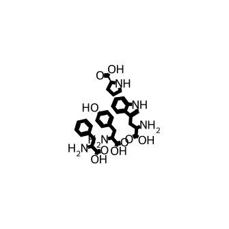 NC(Cc1c[nH]c2ccccc12)C(=O)O.NC(Cc1ccc(O)cc1)C(=O)O.NC(Cc1ccccc1)C(=O)O.O=C(O)[C@@H]1CCCN1